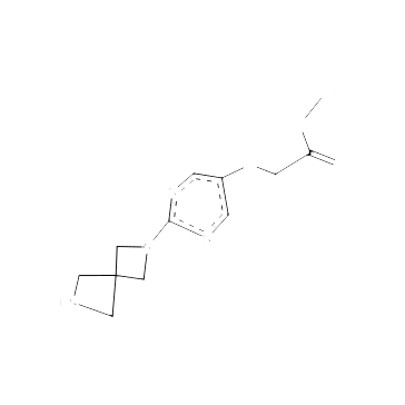 CC(C)(C)OC(=O)COc1cnc(N2CC3(CNC3)C2)nc1